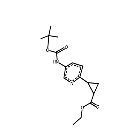 CCOC(=O)C1CC1c1ccc(NC(=O)OC(C)(C)C)cn1